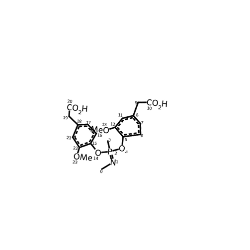 CN=P(C)(Oc1ccc(CC(=O)O)cc1OC)Oc1ccc(CC(=O)O)cc1OC